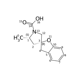 C[C@H]1C[C@]2(Cc3ccccc3O2)CN1C(=O)O